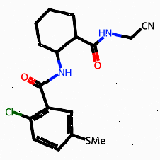 CSc1ccc(Cl)c(C(=O)NC2CCCCC2C(=O)NCC#N)c1